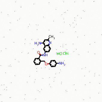 Cc1cc(N)c2cc(NC(=O)c3ccccc3COc3ccc(N)cc3)ccc2n1.Cl.Cl